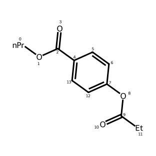 CCCOC(=O)c1ccc(OC(=O)CC)cc1